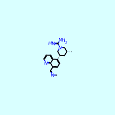 C/N=C\c1ccc([C@H]2C[C@@H](C)CN(C(=N)N)C2)c2cccnc12